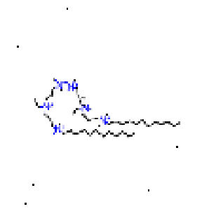 CCCCCCCCCCCC[N+](C)(C)CCC[N+](C)(CC)CCC[N+](C)(C)C[N+](C)(C)CCC[N+](C)(CC)CCC[N+](C)(C)CCCCCCCCCCCC